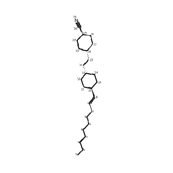 CCCCCCCC/C=C/[C@H]1CC[C@H](CC[C@H]2CC[C@H](C#N)CC2)CC1